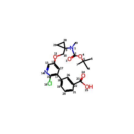 CN(C(=O)OC(C)(C)C)C1(COc2cnc(Cl)c(-c3cccc(C(=O)O)c3)c2)CC1